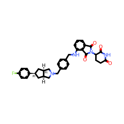 O=C1CCC(N2C(=O)c3cccc(NCc4ccc(CN5C[C@H]6C[C@@H](c7ccc(F)cc7)C[C@H]6C5)cc4)c3C2=O)C(=O)N1